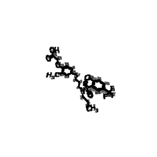 CCCN(CCCSc1ccc(OCC(=O)O)c(C)c1)S(=O)(=O)c1cc(C(F)(F)F)ccc1Cl